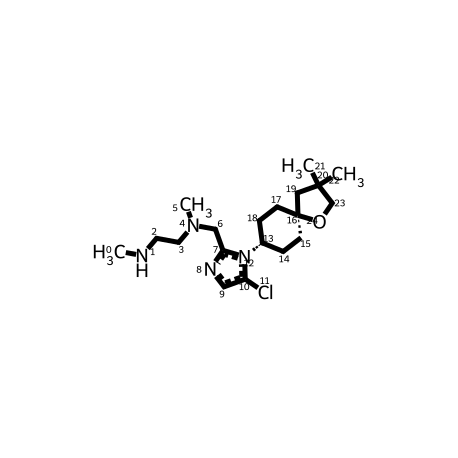 CNCCN(C)Cc1ncc(Cl)n1[C@H]1CC[C@]2(CC1)CC(C)(C)CO2